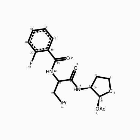 CC(=O)O[C@@H]1OCC[C@@H]1NC(=O)C(CC(C)C)NC(=O)c1ccccc1F